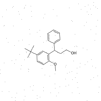 COc1ccc(C(C)(C)C)cc1C(CCO)c1ccccc1